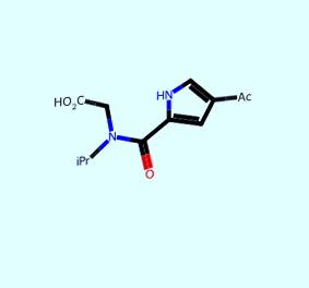 CC(=O)c1c[nH]c(C(=O)N(CC(=O)O)C(C)C)c1